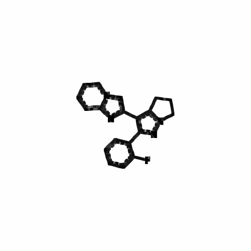 Fc1ccccc1-c1nn2c(c1-c1cn3ccccc3n1)CCC2